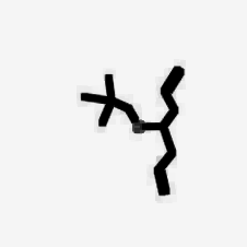 C=CCC(CC=C)OCC(C)(C)C